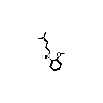 COc1ccccc1NC[CH]C=C(C)C